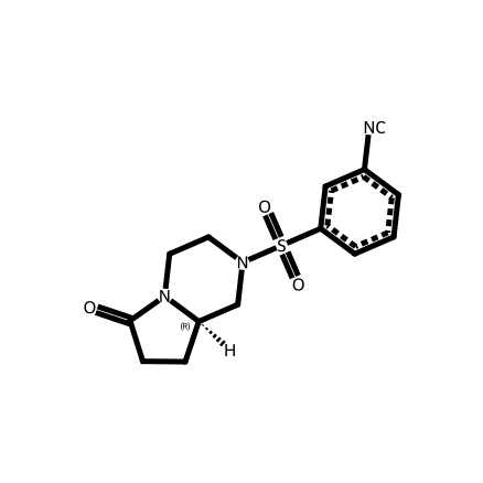 [C-]#[N+]c1cccc(S(=O)(=O)N2CCN3C(=O)CC[C@@H]3C2)c1